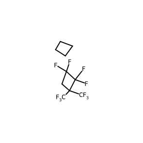 C1CCC1.FC(F)(F)C1(C(F)(F)F)CC(F)(F)C1(F)F